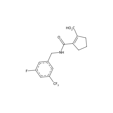 O=C(O)C1=C(C(=O)NCc2cc(F)cc(C(F)(F)F)c2)CCC1